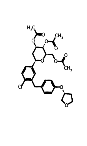 CC(=O)OC[C@H]1O[C@@H](c2ccc(Cl)c(Cc3ccc(O[C@@H]4CCOC4)cc3)c2)C[C@@H](OC(C)=O)[C@@H]1OC(C)=O